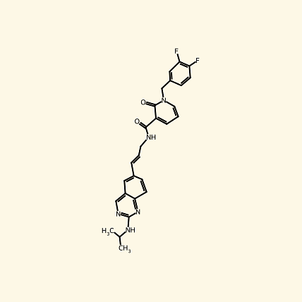 CC(C)Nc1ncc2cc(C=CCNC(=O)c3cccn(Cc4ccc(F)c(F)c4)c3=O)ccc2n1